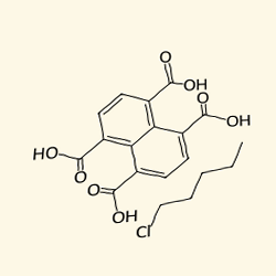 CCCCCCl.O=C(O)c1ccc(C(=O)O)c2c(C(=O)O)ccc(C(=O)O)c12